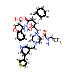 O=C(N[C@H]1c2ccccc2OC[C@H]1O)[C@H](Cc1ccccc1)C[C@H](O)CN1CCN(Cc2cncc(-c3ccsc3)c2)C[C@H]1C(=O)NCC(F)(F)F